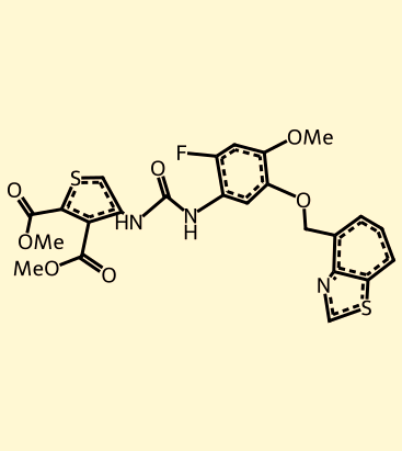 COC(=O)c1scc(NC(=O)Nc2cc(OCc3cccc4scnc34)c(OC)cc2F)c1C(=O)OC